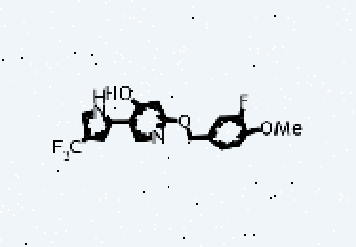 COc1ccc(COc2cc(O)c(-c3cc(C(F)(F)F)c[nH]3)cn2)cc1F